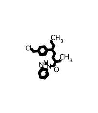 CCCC(CCC(CC)C(=O)n1nnc2ccccc21)c1ccc(CCl)cc1